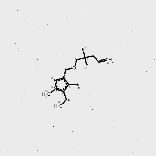 C=CCC(F)(F)COCc1nn(C)c(CC)c1Br